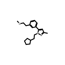 COCCc1cccc(-c2cc(C)nn2CCC2CCCC2)c1